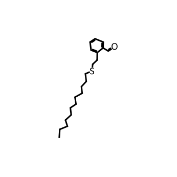 CCCCCCCCCCCCSCCc1ccccc1C=O